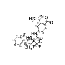 Cc1noc(=O)c2ccc(NC(=O)C(O)(CC(C)(C)c3ccccc3F)C(F)(F)F)cc12